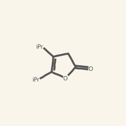 CC(C)C1=C(C(C)C)OC(=O)C1